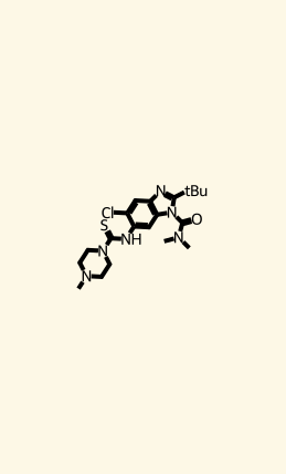 CN1CCN(C(=S)Nc2cc3c(cc2Cl)nc(C(C)(C)C)n3C(=O)N(C)C)CC1